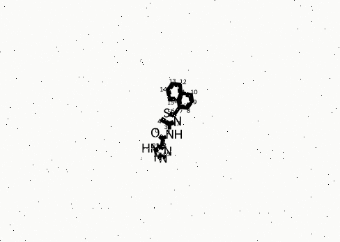 O=C(Nc1csc(-c2cccc3ccccc23)n1)c1nnn[nH]1